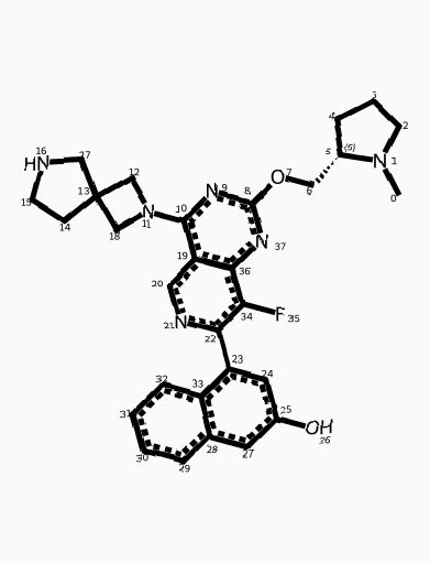 CN1CCC[C@H]1COc1nc(N2CC3(CCNC3)C2)c2cnc(-c3cc(O)cc4ccccc34)c(F)c2n1